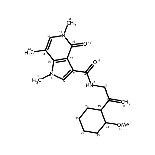 C=C(CNC(=O)c1cn(C)c2c(C)cn(C)c(=O)c12)C1CCCCC1OC